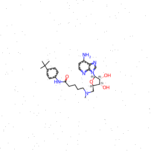 CN(CCCCC(=O)Nc1ccc(C(C)(C)C)cc1)C[C@H]1O[C@@H](n2cnc3c(N)ccnc32)[C@H](O)[C@@H]1O